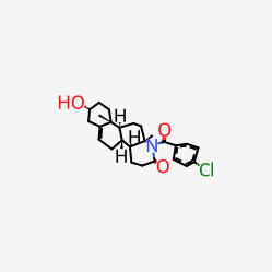 C[C@]12CC[C@H](O)CC1=CC[C@@H]1[C@@H]2CC[C@@]2(C)[C@H]1CCC(=O)N2C(=O)c1ccc(Cl)cc1